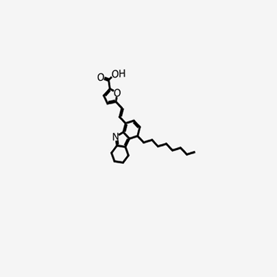 CCCCCCCCC1C=CC(/C=C/c2ccc(C(=O)O)o2)=C2N=C3CCCCC3=C21